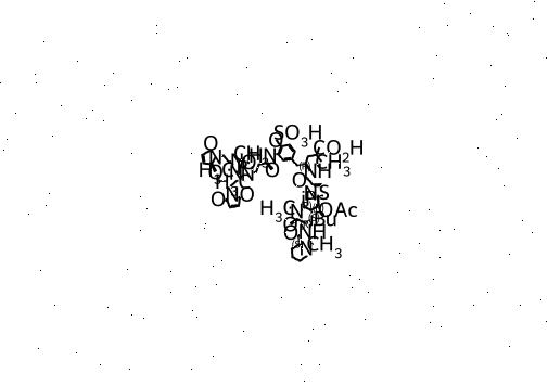 CC[C@H](C)[C@@H](NC(=O)[C@@H]1CCCCN1C)C(=O)N(C)[C@H](C[C@@H](OC(C)=O)c1nc(C(=O)N[C@@H](Cc2ccc(OS(=O)(=O)O)c(NC(=O)CCN(C)P(=O)(N(C)CCN3C(=O)C=CC3=O)N(C)CCN3C(=O)C=CC3=O)c2)CC(C)C(=O)O)cs1)C(C)C